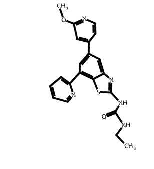 CCNC(=O)Nc1nc2cc(-c3ccnc(OC)c3)cc(-c3ccccn3)c2s1